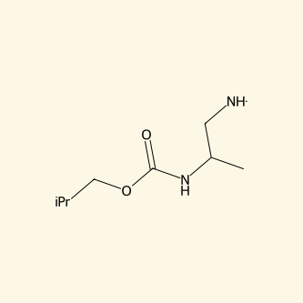 CC(C)COC(=O)NC(C)C[NH]